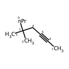 [CH2]CCC(C)(C)CC#CC